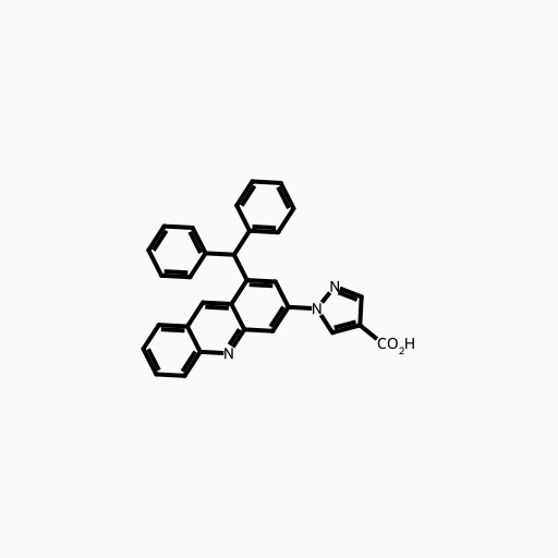 O=C(O)c1cnn(-c2cc(C(c3ccccc3)c3ccccc3)c3cc4ccccc4nc3c2)c1